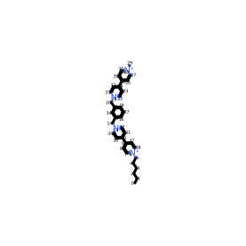 CCCCCC[n+]1ccc(-c2cc[n+](Cc3cccc(C[n+]4ccc(-c5cc[n+](C)cc5)cc4)c3)cc2)cc1